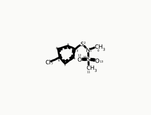 CN(Sc1ccc(Cl)cc1)S(C)(=O)=O